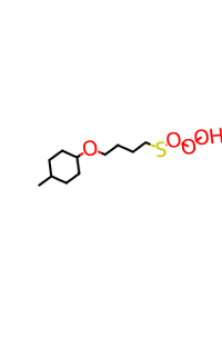 CC1CCC(OCCCCSOOO)CC1